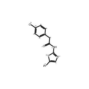 CC(C)c1cnc(NC(=O)Cc2ccc(Cl)cc2)s1